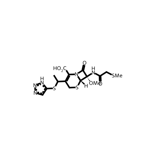 CO[C@@]1(NC(=O)CSC)C(=O)N2C(C(=O)O)=C(C(C)Sc3cnn[nH]3)CS[C@H]21